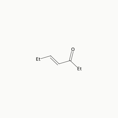 CCC=CC(=O)CC